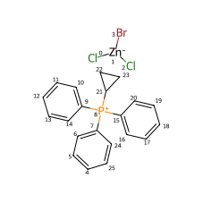 [Cl][Zn-]([Cl])[Br].c1ccc([P+](c2ccccc2)(c2ccccc2)C2CC2)cc1